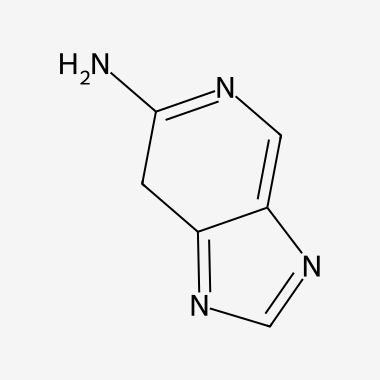 NC1=NC=C2N=CN=C2C1